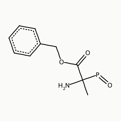 CC(N)(P=O)C(=O)OCc1ccccc1